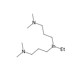 C[CH2][In]([CH2]CCN(C)C)[CH2]CCN(C)C